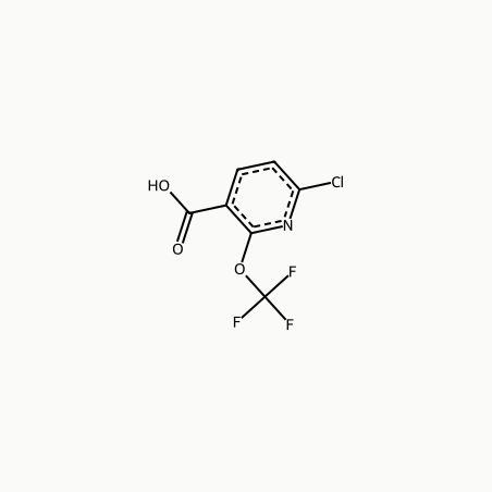 O=C(O)c1ccc(Cl)nc1OC(F)(F)F